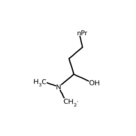 [CH2]N(C)C(O)CCCCC